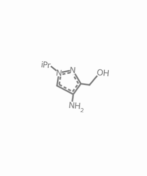 CC(C)n1cc(N)c(CO)n1